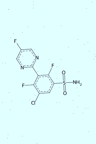 NS(=O)(=O)c1cc(Cl)c(F)c(-c2ncc(F)cn2)c1F